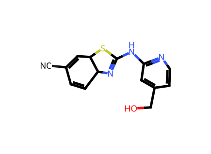 N#CC1=CC2SC(Nc3cc(CO)ccn3)=NC2C=C1